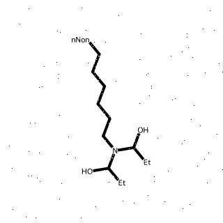 CCCCCCCCCCCCCCCN(C(O)CC)C(O)CC